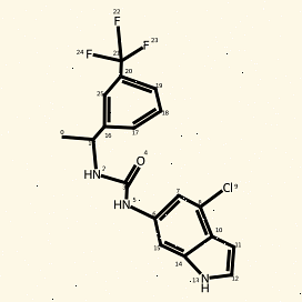 CC(NC(=O)Nc1cc(Cl)c2cc[nH]c2c1)c1cccc(C(F)(F)F)c1